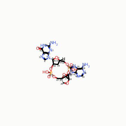 Nc1nc2c(ncn2[C@@H]2O[C@@H]3COP(=O)(O)O[C@@H]4C5OC[C@]4(COP(=O)(O)OC2C3)O[C@H]5n2cnc3c(N)ncnc32)c(=O)[nH]1